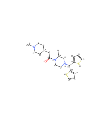 CC(=O)N1CCC(CC(=O)N2CCN(C(c3cccs3)c3cccs3)CC2C)CC1